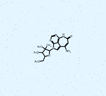 CC(=O)OCC1OC(n2cc3c4c(ncnc42)NC(=O)C=C3N)C(C)(OC(C)=O)C1OC(C)=O